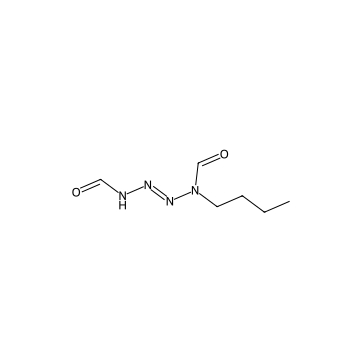 CCCCN(C=O)/N=N/NC=O